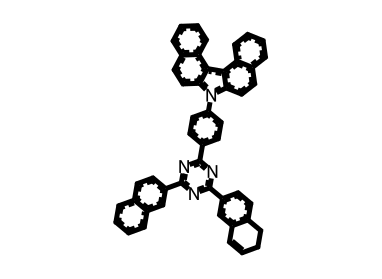 C1=Cc2cc(-c3nc(-c4ccc(-n5c6ccc7ccccc7c6c6c7ccccc7ccc65)cc4)nc(-c4ccc5ccccc5c4)n3)ccc2CC1